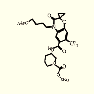 COCCCCN1C(=O)C2(CC2)Oc2cc(C(F)(F)F)c(C(=O)N[C@@H]3CCCN(C(=O)OC(C)(C)C)C3)cc21